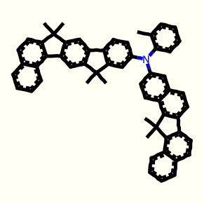 Cc1ccccc1N(c1ccc2c(c1)C(C)(C)c1cc3c(cc1-2)C(C)(C)c1ccc2ccccc2c1-3)c1ccc2c3c(ccc2c1)-c1ccc2ccccc2c1C3(C)C